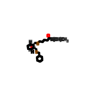 CN(O)C(=O)CCCCSC[C@@H]1[C@H](CSCC2CCCCC2)[C@@H]2CC[C@H]1O2